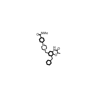 CNC(=O)c1ccc(N2CCN(Cc3cc(Cc4ccccc4)c4c(c3)NC(=O)C(C)O4)CC2)cc1